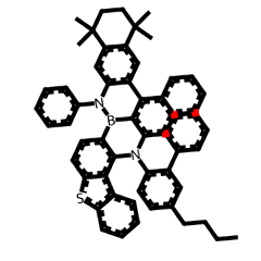 CCCCc1ccc(N2c3cc4ccccc4c4c3B(c3ccc5sc6ccccc6c5c32)N(c2ccccc2)c2cc3c(cc2-4)C(C)(C)CCC3(C)C)c(-c2ccccc2)c1